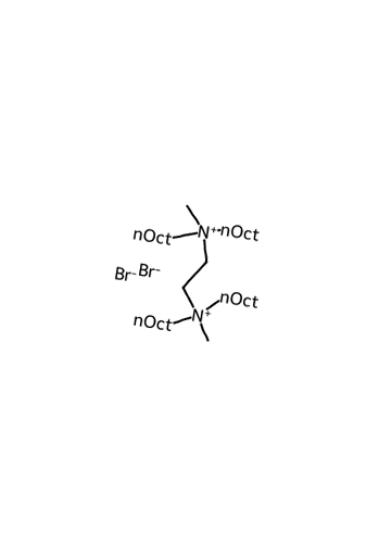 CCCCCCCC[N+](C)(CCCCCCCC)CC[N+](C)(CCCCCCCC)CCCCCCCC.[Br-].[Br-]